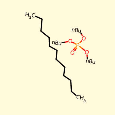 CCCCCCCCCCCC.CCCCOP(=O)(OCCCC)OCCCC